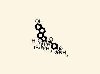 CC(C)(C)[Si](C)(C)O[C@H]1[C@H](OC(=O)c2ccc(S(N)(=O)=O)cc2)CC2C3CCc4cc(O)ccc4C3CC[C@@]21C